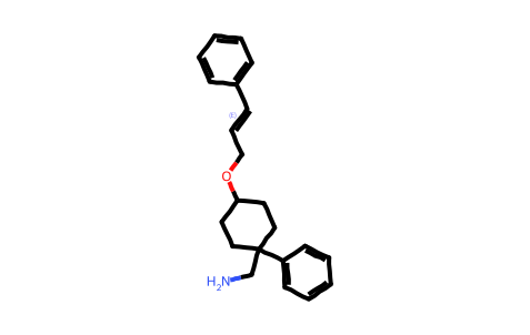 NCC1(c2ccccc2)CCC(OC/C=C/c2ccccc2)CC1